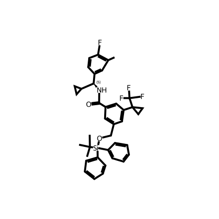 Cc1cc([C@@H](NC(=O)c2cc(CO[Si](c3ccccc3)(c3ccccc3)C(C)(C)C)cc(C3(C(F)(F)F)CC3)c2)C2CC2)ccc1F